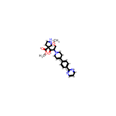 COCC(C(=O)C1(C(=O)OC)CCNC1)N1CC=C(c2ccc(-c3ncccn3)cc2)CC1